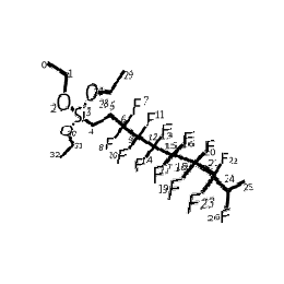 CCO[Si](CCC(F)(F)C(F)(F)C(F)(F)C(F)(F)C(F)(F)C(F)(F)C(C)F)(OCC)OCC